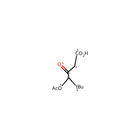 CC(=O)OC(C(=O)CC(=O)O)C(C)(C)C